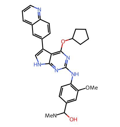 CNC(O)c1ccc(Nc2nc(OC3CCCC3)c3c(-c4ccc5ncccc5c4)c[nH]c3n2)c(OC)c1